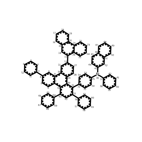 c1ccc(-c2ccc3c(c2)c2cc(-c4cc5ccccc5c5ccccc45)ccc2c2c(-c4ccc(N(c5ccccc5)c5ccc6ccccc6c5)cc4)c(-c4ccccc4)cc(-c4ccccc4)c32)cc1